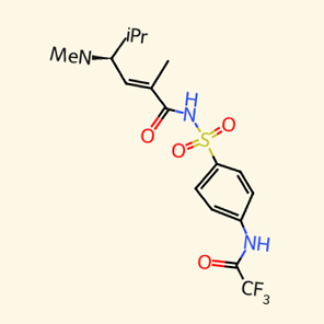 CN[C@H](/C=C(\C)C(=O)NS(=O)(=O)c1ccc(NC(=O)C(F)(F)F)cc1)C(C)C